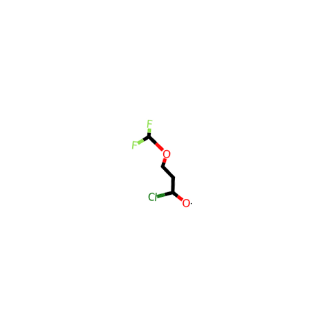 [O]C(Cl)CCOC(F)F